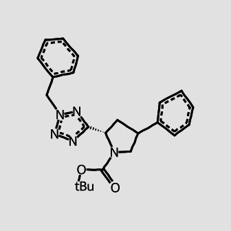 CC(C)(C)OC(=O)N1CC(c2ccccc2)C[C@H]1c1nnn(Cc2ccccc2)n1